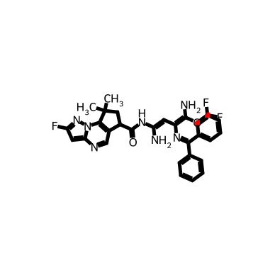 CC1(C)CC(C(=O)N/C(N)=C/C(N=C(c2ccccc2)c2ccccc2)=C(\N)OC(F)F)c2cnc3cc(F)nn3c21